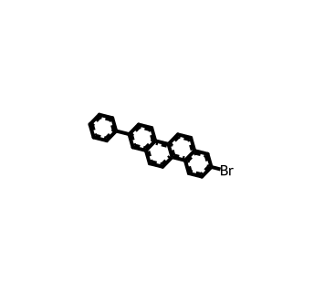 Brc1ccc2c(ccc3c4ccc(-c5ccccc5)cc4ccc23)c1